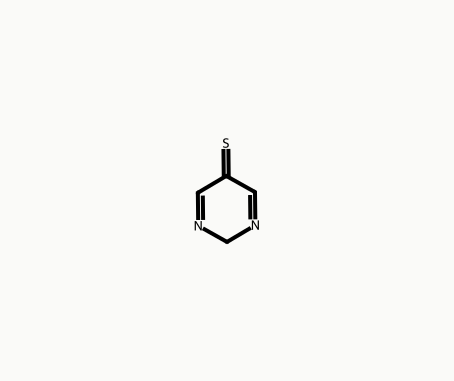 S=C1C=NCN=C1